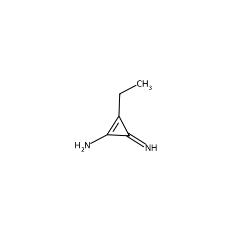 CCc1c(N)c1=N